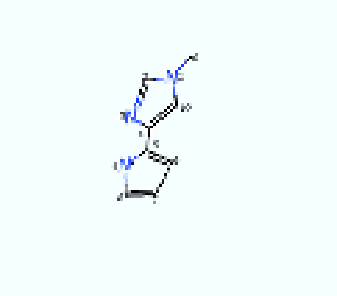 Cn1cnc(C2=CC=C[N]2)c1